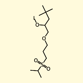 CC(C)S(=O)(=O)CCCOCC(CC(C)(C)C)OI